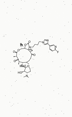 C#C[C@]12OC(=O)N(CCCCn3cnc(-c4ccc(F)nc4)c3)[C@@H]1[C@@H](C)C(=O)[C@H](C)C[C@](C)(OC)[C@H](OC1O[C@H](C)C[C@H](N(C)C)[C@H]1O)[C@@H](C)C(=O)[C@@H](C)C(=O)O[C@@H]2CC